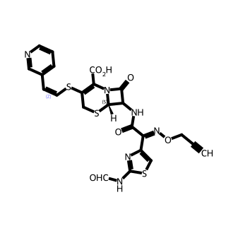 C#CCON=C(C(=O)NC1C(=O)N2C(C(=O)O)=C(S/C=C\c3cccnc3)CS[C@@H]12)c1csc(NC=O)n1